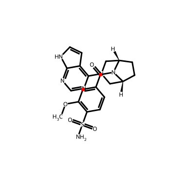 COc1cc(C(=O)N2[C@@H]3CC[C@H]2CN(c2ncnc4[nH]ccc24)C3)ccc1S(N)(=O)=O